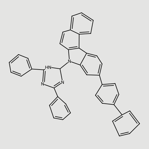 c1ccc(C2=NC(n3c4cc(-c5ccc(-c6ccccc6)cc5)ccc4c4c5ccccc5ccc43)NC(c3ccccc3)=N2)cc1